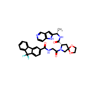 C[C@H](NC(=O)[C@@H]1CC2(CN1C(=O)CNC(=O)c1ccc3c(c1)-c1ccccc1C3(F)F)OCCO2)c1cc2cnccc2[nH]1